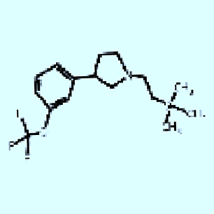 C[Si](C)(C)CCN1C[CH]C(c2cccc(OC(F)(F)F)c2)C1